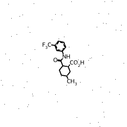 CC1CCC(C(=O)Nc2cccc(C(F)(F)F)c2)C(C(=O)O)C1